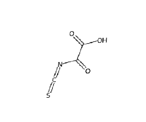 O=C(O)C(=O)N=C=S